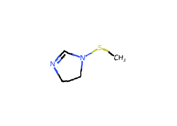 CSN1C=NCC1